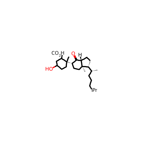 CC(C)CCC[C@@H](C)[C@H]1CC[C@H]2C(=O)[C@@H](C3(C)CCC(O)CC3C(=O)O)CC[C@]12C